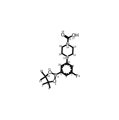 CC1(C)OB(c2cc(F)cc(N3CCN(C(=O)O)CC3)c2)OC1(C)C